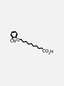 N#Cc1ccccc1OCCCCCCCCCC(=O)O